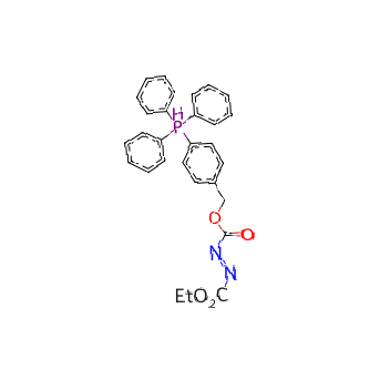 CCOC(=O)/N=N/C(=O)OCc1ccc([PH](c2ccccc2)(c2ccccc2)c2ccccc2)cc1